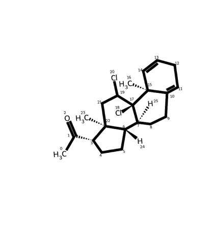 CC(=O)[C@H]1CC[C@H]2[C@@H]3CCC4=CCC=C[C@]4(C)[C@@]3(Cl)C(Cl)C[C@]12C